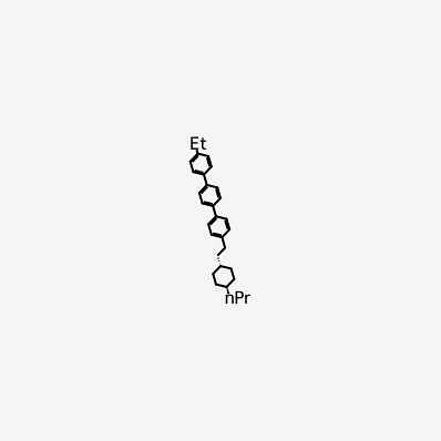 CCC[C@H]1CC[C@H](CCc2ccc(-c3ccc(-c4ccc(CC)cc4)cc3)cc2)CC1